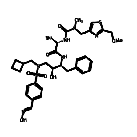 CC[C@H](C)[C@H](NC(=O)N(C)Cc1csc(COC)n1)C(=O)N[C@@H](Cc1ccccc1)[C@@H](O)CN(CC1CCC1)S(=O)(=O)c1ccc(C=NO)cc1